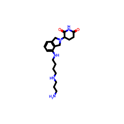 NCCCNCCCCNc1cccc2c1CN(C1CCC(=O)NC1=O)C2